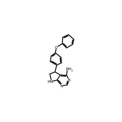 Nc1ncnc2c1C(c1ccc(Oc3ccccc3)cc1)CN2